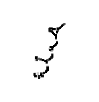 CC1OC1COCC(Br)CC(Cl)(Cl)Cl